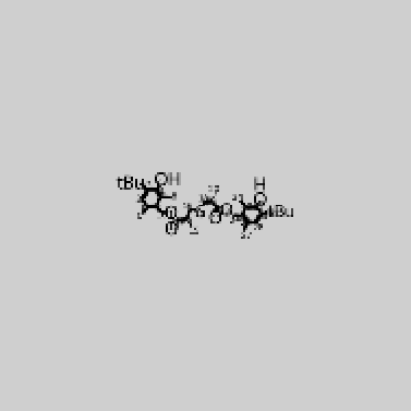 Cc1cc(C(C)(C)C)c(O)c(C)c1COC(=O)[C@H](C)CSC[C@H](C)C(=O)OCc1c(C)cc(C(C)(C)C)c(O)c1C